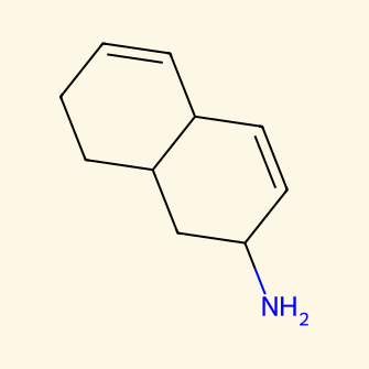 NC1C=CC2C=CCCC2C1